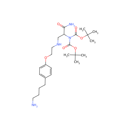 CC(C)(C)OC(=O)N(C(=O)OC(C)(C)C)C(CNCCOc1ccc(CCCCN)cc1)C(N)=O